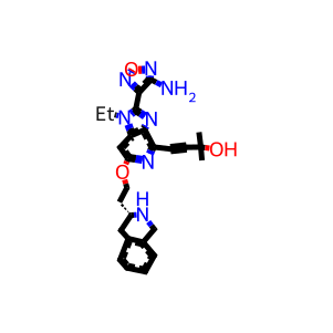 CCn1c(-c2nonc2N)nc2c(C#CC(C)(C)O)nc(OCC[C@H]3Cc4ccccc4CN3)cc21